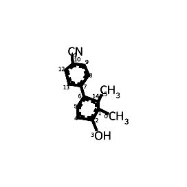 Cc1c(O)ccc(-c2ccc(C#N)cc2)c1C